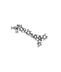 N=C(NO)c1ccc(OCc2ccc(COc3ccc(-c4nc(C5CCCCC5)sc4CC4CCCC4)cc3)cc2)cc1